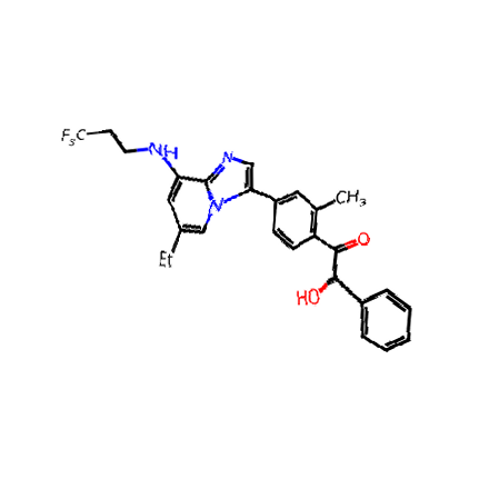 CCc1cc(NCCC(F)(F)F)c2ncc(-c3ccc(C(=O)C(O)c4ccccc4)c(C)c3)n2c1